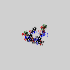 CCOc1cc2ncc(C(N)=O)c(Nc3cccc(CNC(=O)[C@@H](N)CN)c3CC)c2cc1OCC.CCOc1cc2ncc(C(N)=O)c(Nc3cccc(CNC(=O)[C@H](N)Cc4ccccc4)c3CC)c2cc1OCC.O=C(O)C(F)(F)F.O=C(O)C(F)(F)F.O=C(O)C(F)(F)F